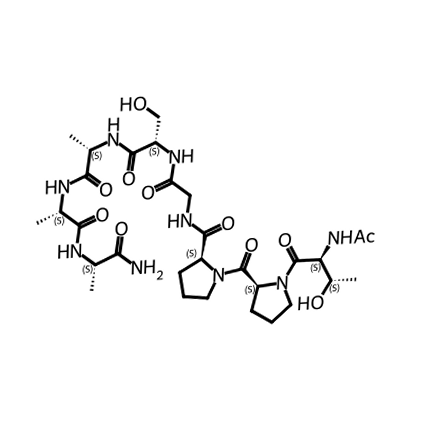 CC(=O)N[C@H](C(=O)N1CCC[C@H]1C(=O)N1CCC[C@H]1C(=O)NCC(=O)N[C@@H](CO)C(=O)N[C@@H](C)C(=O)N[C@@H](C)C(=O)N[C@@H](C)C(N)=O)[C@H](C)O